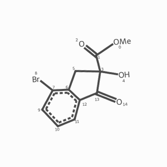 COC(=O)C1(O)Cc2c(Br)cccc2C1=O